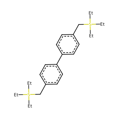 CCS(CC)(CC)Cc1ccc(-c2ccc(CS(CC)(CC)CC)cc2)cc1